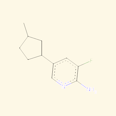 CC1CCC(c2cnc(N)c(F)c2)C1